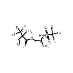 CCC(C)(C(=O)OCC(C)NS(=O)(=O)C(F)(F)F)C(F)(F)F